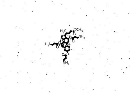 COC(=O)CC[C@@H](C)[C@H]1CC[C@H]2C3[C@H](OC(=O)CCN)CC4C[C@H](OC(=O)CCN)CC[C@]4(C)[C@H]3C[C@H](OC(=O)CCN)[C@]12C